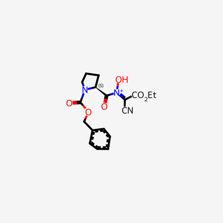 CCOC(=O)C(C#N)=[N+](O)C(=O)[C@@H]1CCCN1C(=O)OCc1ccccc1